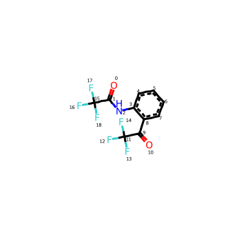 O=C(Nc1ccccc1C(=O)C(F)(F)F)C(F)(F)F